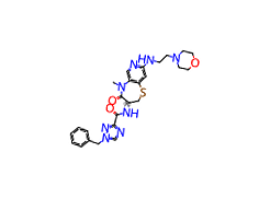 CN1C(=O)[C@@H](NC(=O)c2ncn(Cc3ccccc3)n2)CSc2cc(NCCN3CCOCC3)ncc21